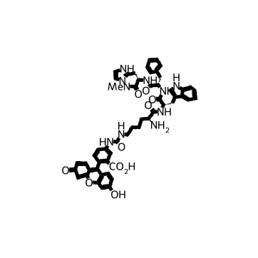 CNC(=O)[C@H](Cc1ncc[nH]1)NC(=O)[C@H](Cc1ccccc1)NC(=O)[C@H](Cc1c[nH]c2ccccc12)NC(=O)[C@H](N)CCCCNC(=O)Nc1ccc(-c2c3ccc(=O)cc-3oc3cc(O)ccc23)c(C(=O)O)c1